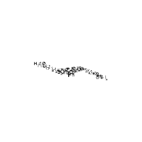 C=CC(=O)OCCCCCCCCCOc1ccc(C(=O)Oc2c(F)c(F)c(OC(=O)c3ccc(OCCCCCCCCCOC(=O)C=C)cc3)c(F)c2F)cc1